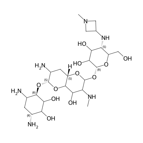 CNC1C(O[C@H]2OC(CO)[C@@H](NC3CN(C)C3)C(O)C2O)O[C@H]2CC(N)[C@@H](O[C@@H]3C(N)C[C@@H](N)C(O)C3O)OC2C1O